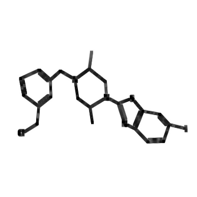 CC1CN(c2nc3ccc(I)cc3s2)C(C)CN1Cc1cccc(CCl)c1